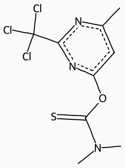 Cc1cc(OC(=S)N(C)C)nc(C(Cl)(Cl)Cl)n1